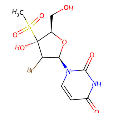 CS(=O)(=O)[C@]1(O)C(Br)[C@H](n2ccc(=O)[nH]c2=O)O[C@@H]1CO